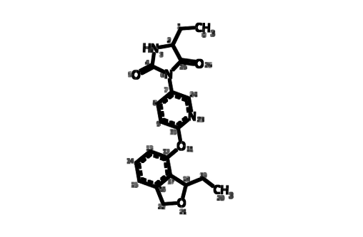 CCC1NC(=O)N(c2ccc(Oc3cccc4c3C(CC)OC4)nc2)C1=O